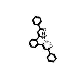 N/C(=C\C(=O)c1ccccc1)c1ccccc1/C(N)=C/C(=O)c1ccccc1